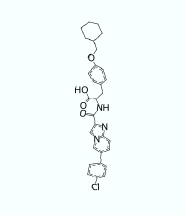 O=C(NC(Cc1ccc(OCC2CCCCC2)cc1)C(=O)O)c1cn2cc(-c3ccc(Cl)cc3)ccc2n1